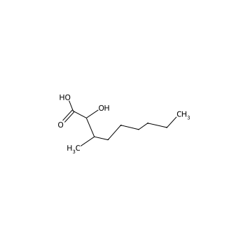 CCCCCCC(C)C(O)C(=O)O